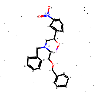 O=[N+]([O-])c1cccc([C@H](CN(CCOCc2ccccc2)Cc2ccccc2)OI)c1